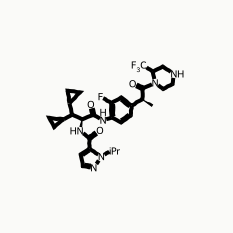 CC(C)n1nccc1C(=O)N[C@H](C(=O)Nc1ccc([C@H](C)C(=O)N2CCNCC2C(F)(F)F)cc1F)C(C1CC1)C1CC1